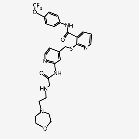 O=C(CNCCN1CCOCC1)Nc1cc(CSc2ncccc2C(=O)Nc2ccc(OC(F)(F)F)cc2)ccn1